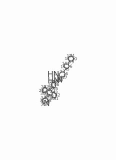 N=C1C=C(c2ccc(-c3ccccc3)cc2)C=C/C1=N/Nc1ccc(-c2c3ccccc3c(-c3cccnc3)c3ccccc23)cc1